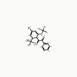 O=C(C(=O)C1C(OC(F)(F)F)=CC(Br)=CC1C(Cl)(Cl)Cl)c1ccccc1